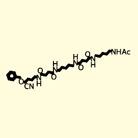 CC(=O)NCCCCCNC(=O)CCC(=O)NCCCCCNC(=O)CCC(=O)NCCCC(C#N)OCc1ccccc1